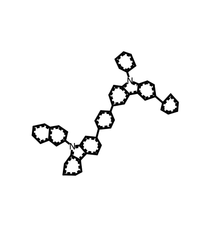 c1ccc(-c2ccc3c(c2)c2cc(-c4ccc(-c5ccc6c7ccccc7n(-c7ccc8ccccc8c7)c6c5)cc4)ccc2n3-c2ccccc2)cc1